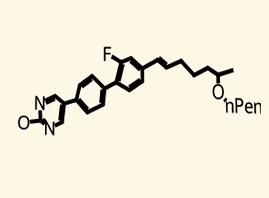 CCCCCOC(C)CCCC=Cc1ccc(-c2ccc(-c3cnc(O)nc3)cc2)c(F)c1